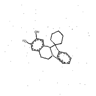 CN1CCc2cc(O)c(O)cc2C1C1(c2ccccc2)CCCCC1